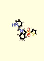 O=S(=O)(c1cccs1)c1cn(CC2CCCCN2)c2ccccc12